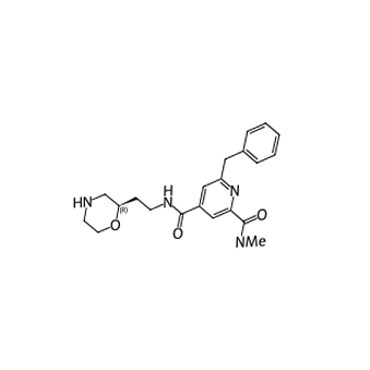 CNC(=O)c1cc(C(=O)NCC[C@@H]2CNCCO2)cc(Cc2ccccc2)n1